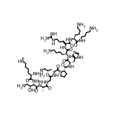 CNCCCC[C@H](N)C(=O)N[C@H](C(=O)N[C@@H](C)C(=O)NCC(=O)N[C@H](CCCN)C(=O)N1CCC[C@H]1C(=O)N[C@@H](Cc1cnc[nH]1)C(=O)N[C@@H](CCCCN)C(=O)N/C(=C\CCNC(=N)N)C(=O)N[C@@H](CCCCN)C(=O)NCCCCN)[C@@H](O)CN